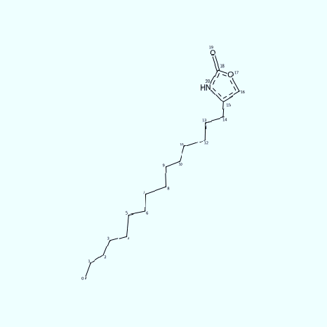 CCCCCCCCCCCCCCCc1coc(=O)[nH]1